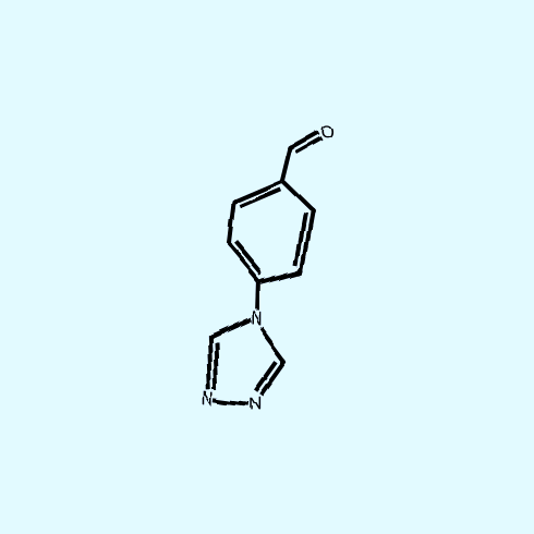 O=Cc1ccc(-n2cnnc2)cc1